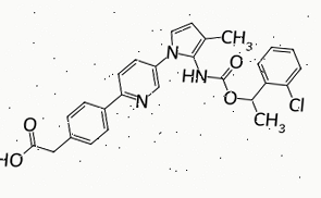 Cc1ccn(-c2ccc(-c3ccc(CC(=O)O)cc3)nc2)c1NC(=O)OC(C)c1ccccc1Cl